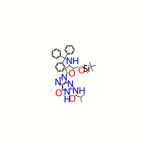 CC(C)C(=O)Nc1nc2c(ncn2C2CC(NC(c3ccccc3)(c3ccccc3)c3ccccc3)C(CO[Si](C)(C)C(C)(C)C)O2)c(=O)[nH]1